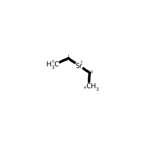 C[CH2][Sr][CH2]C